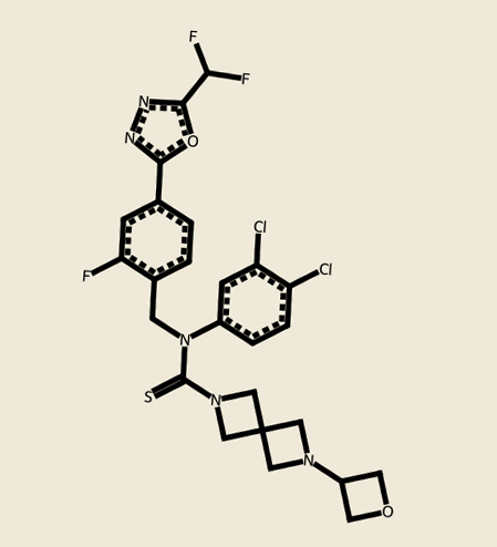 Fc1cc(-c2nnc(C(F)F)o2)ccc1CN(C(=S)N1CC2(C1)CN(C1COC1)C2)c1ccc(Cl)c(Cl)c1